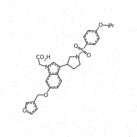 CC(C)Oc1ccc(S(=O)(=O)N2CCC(c3cn(CC(=O)O)c4cc(OCc5ccoc5)ccc34)C2)cc1